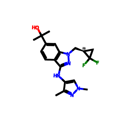 Cc1nn(C)cc1Nc1nn(C[C@H]2CC2(F)F)c2cc(C(C)(C)O)ccc12